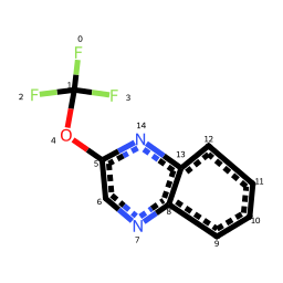 FC(F)(F)Oc1cnc2ccccc2n1